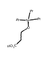 CC(C)[Si](OCCC(=O)O)(C(C)C)C(C)C